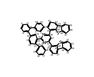 c1ccc(-c2ccccc2-c2ccc(-c3ccccc3)c(-c3nc(-c4cccc5c4sc4ccccc45)cc(-c4cccc5c4sc4ccccc45)n3)c2)cc1